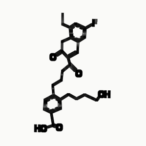 CCc1cc(F)cc2c1CC(=O)C(C(=O)CCCc1ccc(C(=O)O)cc1CCCCO)=C2